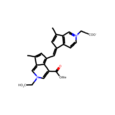 COC(=O)c1cn(CC(=O)O)cc2c(C)cc(/C=C3\C=C(C)c4c[n+](CC(=O)[O-])ccc43)c1-2